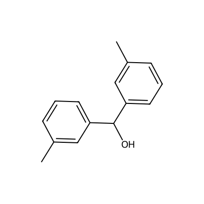 Cc1cccc(C(O)c2cccc(C)c2)c1